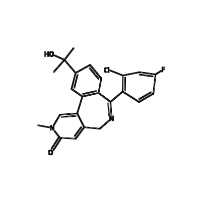 Cn1cc2c(cc1=O)CN=C(c1ccc(F)cc1Cl)c1ccc(C(C)(C)O)cc1-2